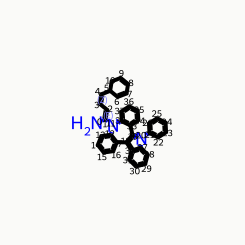 N/C(=C\C=C/C1C=CC=CC1)N1c2ccccc2-c2c(n(-c3ccccc3)c3ccccc23)-c2ccccc21